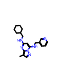 Cc1cnn2c(NCc3cccnc3)cc(NCC3CCCCC3)nc12